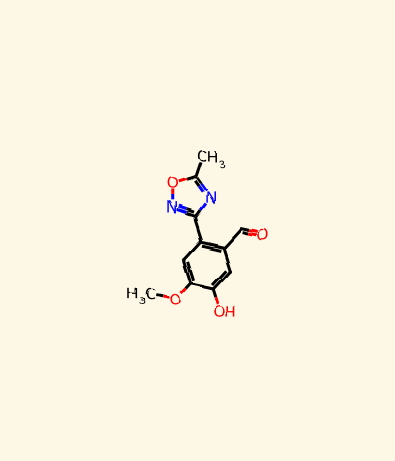 COc1cc(-c2noc(C)n2)c(C=O)cc1O